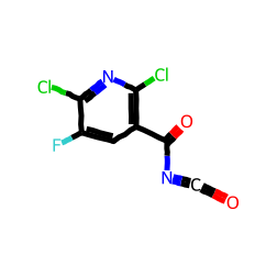 O=C=NC(=O)c1cc(F)c(Cl)nc1Cl